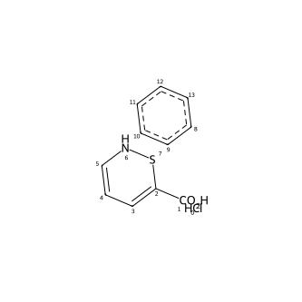 Cl.O=C(O)C1=CC=CNS1.c1ccccc1